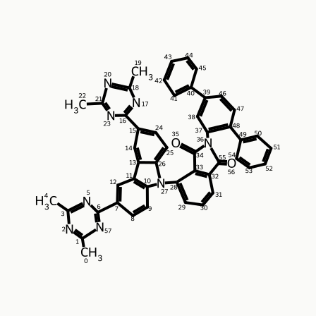 Cc1nc(C)nc(-c2ccc3c(c2)c2cc(-c4nc(C)nc(C)n4)ccc2n3-c2cccc3c2C(=O)N(c2cc(-c4ccccc4)ccc2-c2ccccc2)C3=O)n1